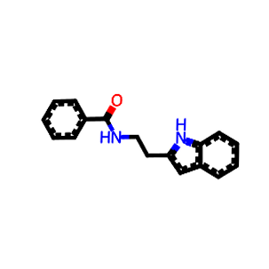 O=C(NCCc1cc2ccccc2[nH]1)c1ccccc1